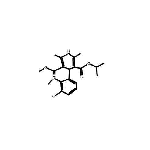 COC(=O)C1=C(C)NC(C)=C(C(=O)OC(C)C)C1c1cccc(Cl)c1OC